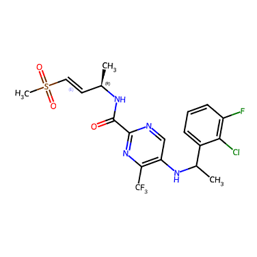 CC(Nc1cnc(C(=O)N[C@H](C)/C=C/S(C)(=O)=O)nc1C(F)(F)F)c1cccc(F)c1Cl